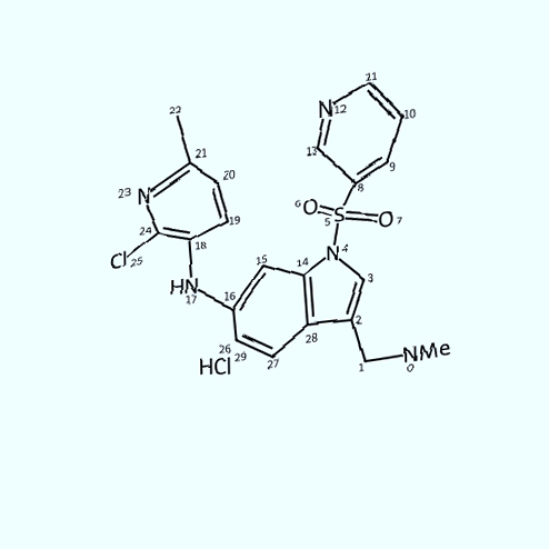 CNCc1cn(S(=O)(=O)c2cccnc2)c2cc(Nc3ccc(C)nc3Cl)ccc12.Cl